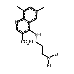 CCOC(=O)c1cnc2c(C)cc(C)cc2c1NCCCN(CC)CC